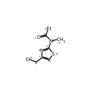 CCC(=O)N(C)c1nc(CCl)cs1